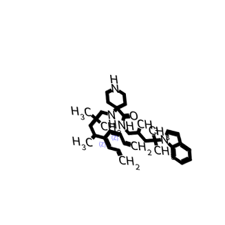 C=C/C=C\C(=C/C=C)C(C)CC(C)(C)CNC1(C(=O)NCC(C)CC(C)(C)n2ccc3ccccc32)CCNCC1